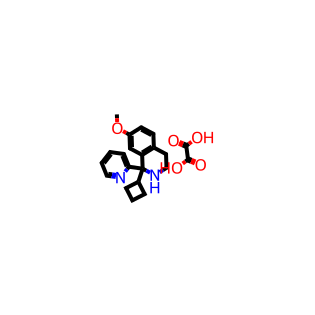 COc1ccc2c(c1)C(c1ccccn1)(C1CCC1)NCC2.O=C(O)C(=O)O